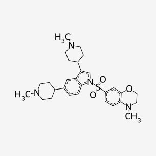 CN1CCC(c2ccc3c(c2)c(C2CCN(C)CC2)cn3S(=O)(=O)c2ccc3c(c2)OCCN3C)CC1